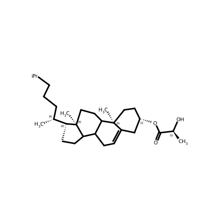 CC(C)CCC[C@@H](C)[C@H]1CCC2C3CC=C4C[C@@H](OC(=O)[C@H](C)O)CC[C@]4(C)C3CC[C@@]21C